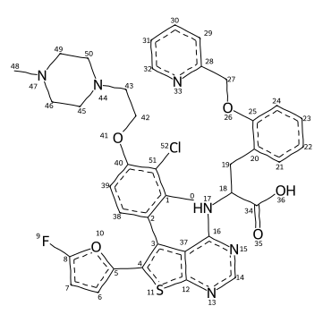 Cc1c(-c2c(-c3ccc(F)o3)sc3ncnc(NC(Cc4ccccc4OCc4ccccn4)C(=O)O)c23)ccc(OCCN2CCN(C)CC2)c1Cl